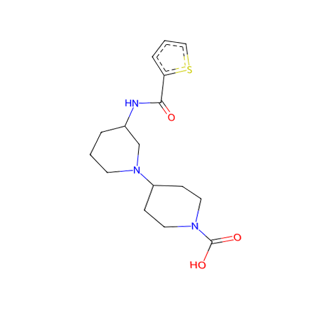 O=C(NC1CCCN(C2CCN(C(=O)O)CC2)C1)c1cccs1